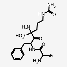 CC(C)C(N)C(=O)NC(Cc1ccccc1)C(=O)C(N)(CCCNC(N)=O)C(=O)O